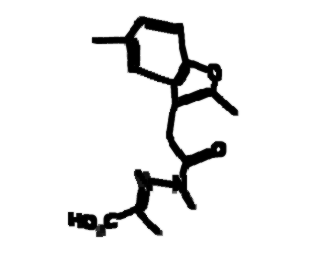 CC(=NN(C)C(=O)Cc1c(C)oc2ccc(C)cc12)C(=O)O